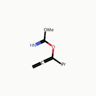 C=C=C(OC(=N)OC)C(C)C